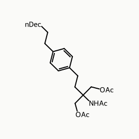 CCCCCCCCCCCCc1ccc(CCC(COC(C)=O)(COC(C)=O)NC(C)=O)cc1